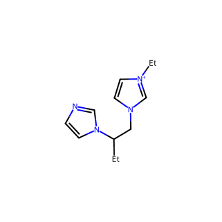 CCC(Cn1cc[n+](CC)c1)n1ccnc1